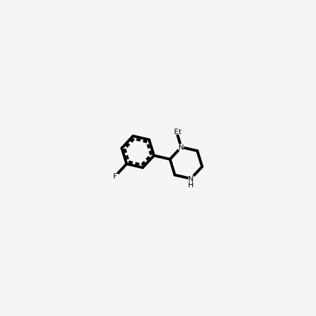 CCN1CCNCC1c1cccc(F)c1